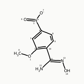 COc1cc([N+](=O)[O-])ccc1/C(N)=N/O